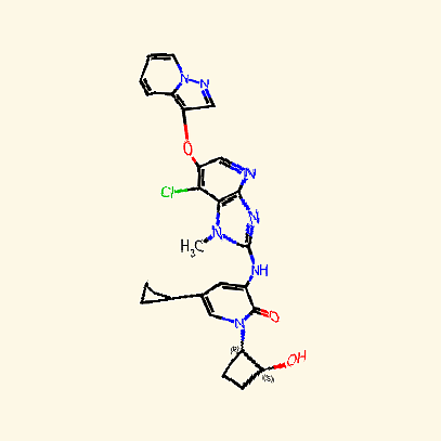 Cn1c(Nc2cc(C3CC3)cn([C@@H]3CC[C@@H]3O)c2=O)nc2ncc(Oc3cnn4ccccc34)c(Cl)c21